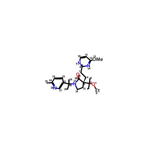 CCOC(C)(C)[C@]1(CCc2nccc(OC)n2)CCN(C(C)(C)c2ccc(C)nc2)C1=O